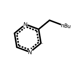 CCCCCc1[c]nccn1